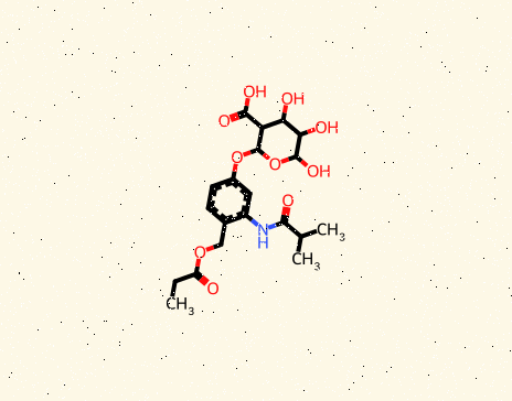 CCC(=O)OCc1ccc(OC2OC(O)C(O)C(O)C2C(=O)O)cc1NC(=O)C(C)C